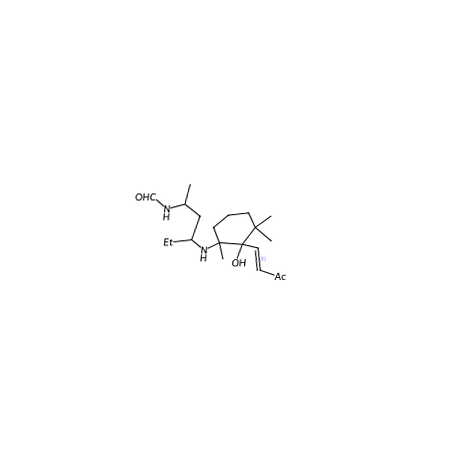 CCC(CC(C)NC=O)NC1(C)CCCC(C)(C)C1(O)/C=C/C(C)=O